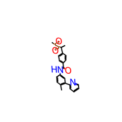 Cc1ccc(NC(=O)c2ccc(C(C)S(C)(=O)=O)cc2)cc1-c1ccccn1